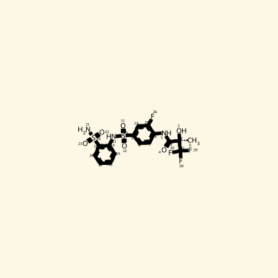 C[C@@](O)(C(=O)Nc1ccc(S(=O)(=O)Nc2ccccc2S(N)(=O)=O)cc1F)C(F)(F)F